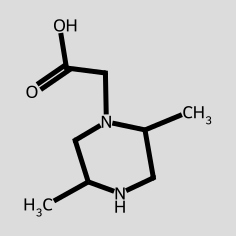 CC1CN(CC(=O)O)C(C)CN1